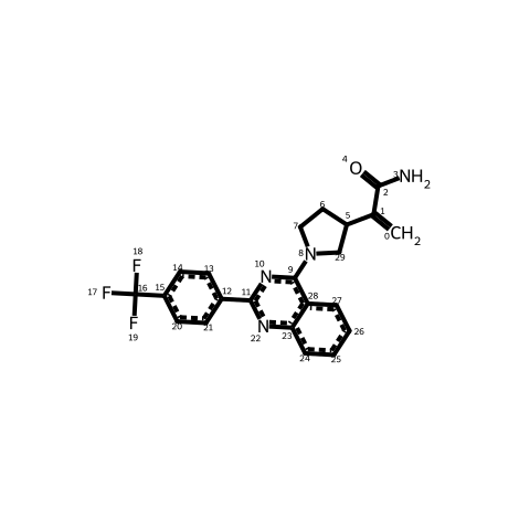 C=C(C(N)=O)C1CCN(c2nc(-c3ccc(C(F)(F)F)cc3)nc3ccccc23)C1